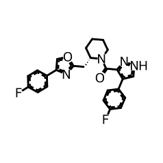 O=C(c1n[nH]cc1-c1ccc(F)cc1)N1CCCC[C@H]1Cc1nc(-c2ccc(F)cc2)co1